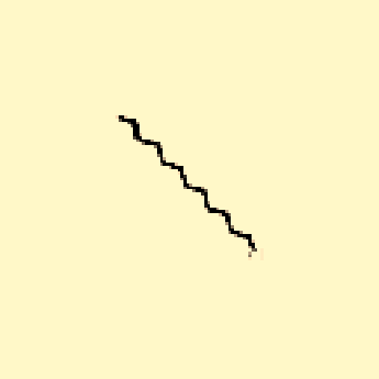 C/C=C/CCCCCCCCCCl